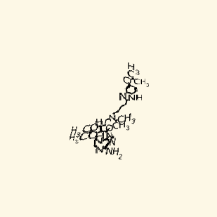 CC(C)Oc1ccc2[nH]c(CCCCN(C[C@H]3OC(n4cnc5c(N)ncnc54)[C@@H]4OC(C)(C)O[C@H]34)C(C)C)nc2c1